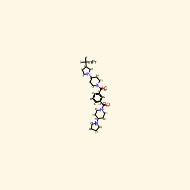 CCCC(C)(C)C1CCN(C2CCN(C(=O)c3cccc(C(=O)N4CCC(N5CCCC5)CC4)c3)CC2)C1